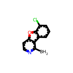 Bc1nccc2oc3c(Cl)cccc3c12